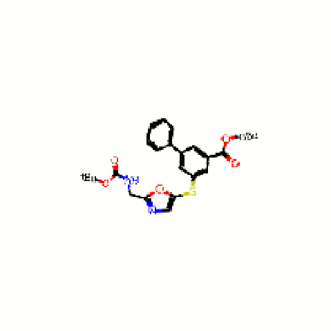 CCCCOC(=O)c1cc(Sc2cnc(CNC(=O)OC(C)(C)C)o2)cc(-c2ccccc2)c1